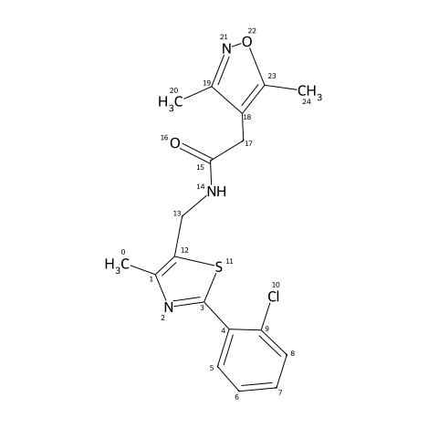 Cc1nc(-c2ccccc2Cl)sc1CNC(=O)Cc1c(C)noc1C